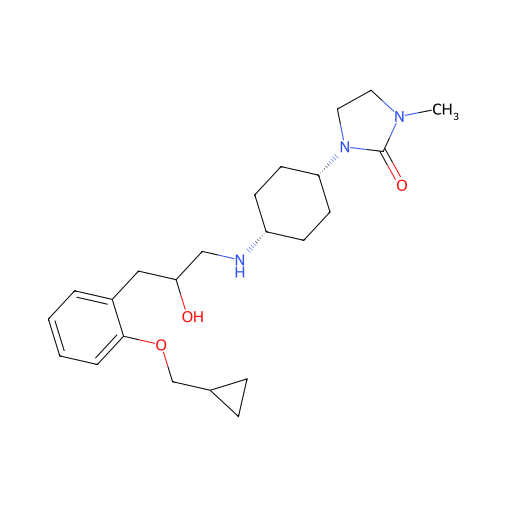 CN1CCN([C@H]2CC[C@@H](NCC(O)Cc3ccccc3OCC3CC3)CC2)C1=O